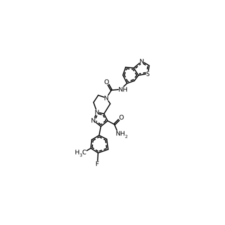 Cc1cc(-c2nn3c(c2C(N)=O)CN(C(=O)Nc2ccc4ncsc4c2)CC3)ccc1F